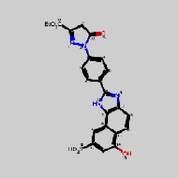 CCOC(=O)C1=NN(c2ccc(-c3nc4ccc5c(O)cc(S(=O)(=O)O)cc5c4[nH]3)cc2)C(=O)C1